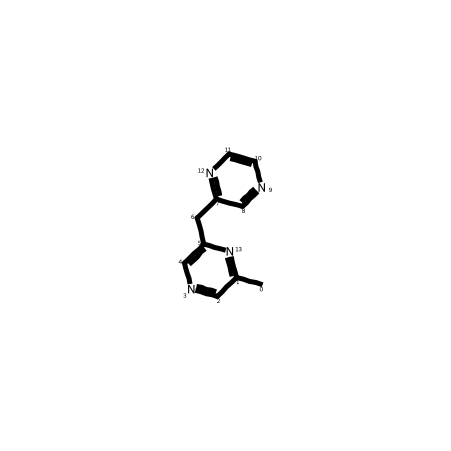 Cc1cncc(Cc2cnccn2)n1